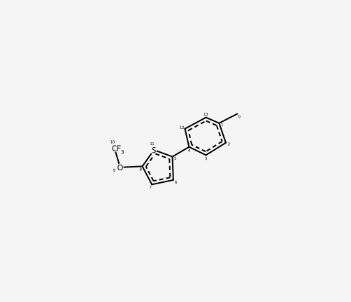 Cc1ccc(-c2ccc(OC(F)(F)F)s2)cc1